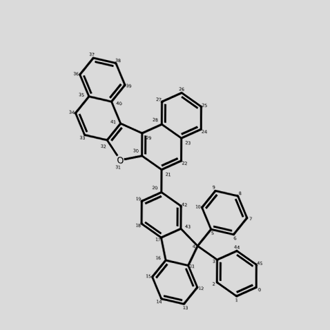 c1ccc(C2(c3ccccc3)c3ccccc3-c3ccc(-c4cc5ccccc5c5c4oc4ccc6ccccc6c45)cc32)cc1